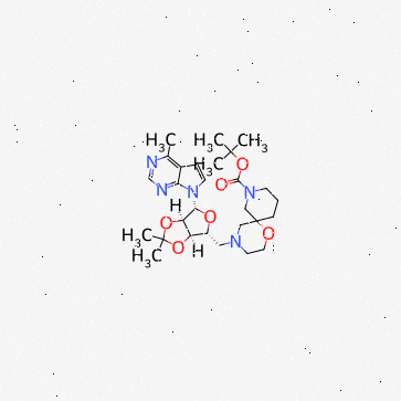 Cc1ncnc2c1ccn2[C@@H]1O[C@H](CN2CCOC3(CCCN(C(=O)OC(C)(C)C)C3)C2)[C@H]2OC(C)(C)O[C@H]21